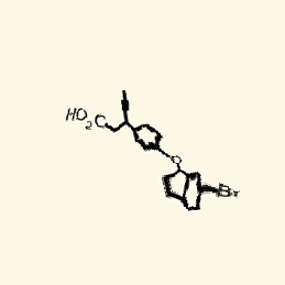 CC#CC(CC(=O)O)c1ccc(OC2CCc3ccc(Br)cc32)cc1